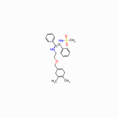 CC1=C(C)CC(COCCN[C@@H](c2ccccc2)[C@H](NS(C)(=O)=O)c2ccccc2)=CC1